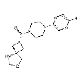 O=C([C@H]1C[C@]2(COCN2)C1)N1CCC(c2ccc(F)cc2)CC1